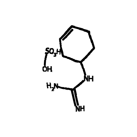 N=C(N)NC1CC=CCC1.O=S(=O)(O)O